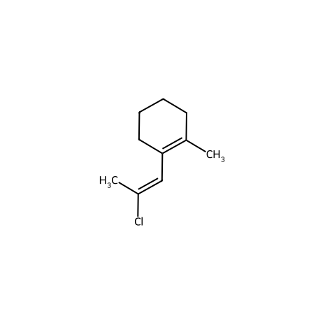 CC1=C(/C=C(\C)Cl)CCCC1